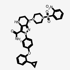 NC(=O)c1c2c(nn1-c1ccc(Oc3ccccc3C3CC3)cc1)[C@H](N1CCN(S(=O)(=O)c3ccccc3[N+](=O)[O-])CC1)CCN2